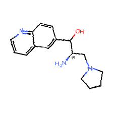 N[C@H](CN1CCCC1)C(O)c1ccc2ncccc2c1